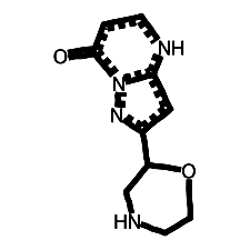 O=c1cc[nH]c2cc(C3CNCCO3)nn12